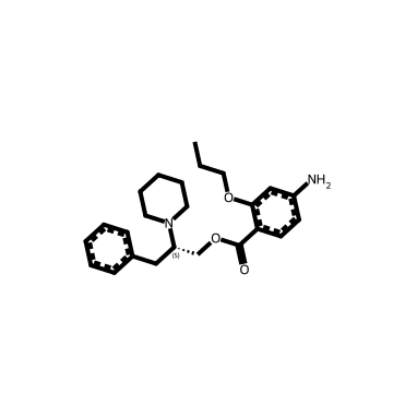 CCCOc1cc(N)ccc1C(=O)OC[C@H](Cc1ccccc1)N1CCCCC1